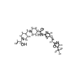 C=CC(O)N1CCC(CN2CCC(C(=O)Nc3ncc(SCc4ncc(C(C)(C)C)o4)s3)CC2)CC1